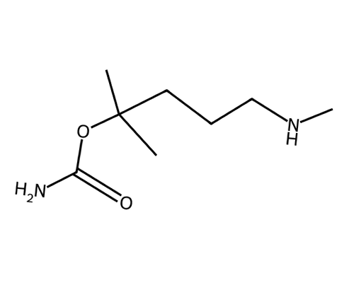 CNCCCC(C)(C)OC(N)=O